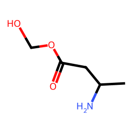 CC(N)CC(=O)OCO